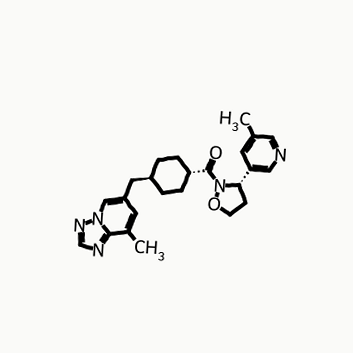 Cc1cncc([C@@H]2CCON2C(=O)[C@H]2CC[C@H](Cc3cc(C)c4ncnn4c3)CC2)c1